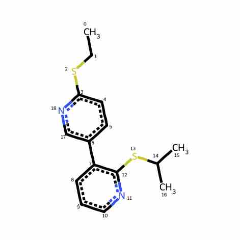 CCSc1ccc(-c2c[c]cnc2SC(C)C)cn1